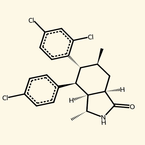 C[C@H]1C[C@H]2C(=O)N[C@H](C)[C@H]2[C@@H](c2ccc(Cl)cc2)[C@@H]1c1ccc(Cl)cc1Cl